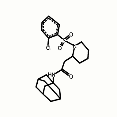 O=C(CC1CCCCN1S(=O)(=O)c1ccccc1Cl)NC12CC3CC(CC(C3)C1)C2